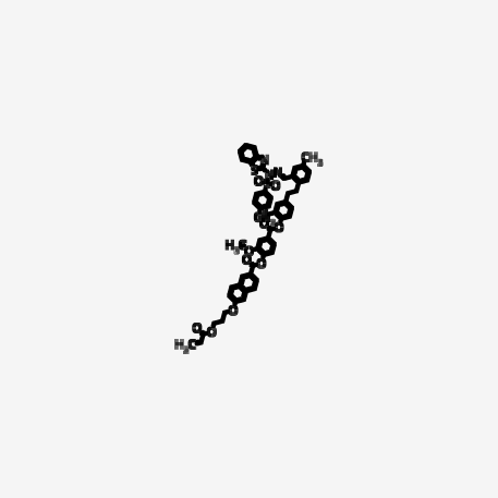 C=CC(=O)OCCCOc1ccc2cc(C(=O)Oc3ccc(C(=O)Oc4ccc(CCc5ccc(C)cc5/C=N/N(c5nc6ccccc6s5)S(=O)(=O)c5ccc(C)cc5)cc4Cl)cc3OC)ccc2c1